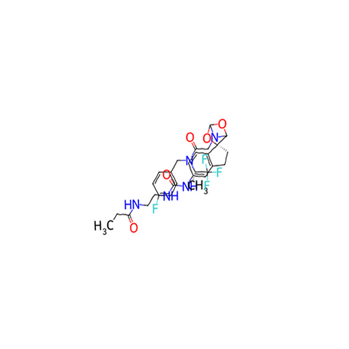 CCC(=O)NCCNC(=O)Nc1ccc2c(c1)CC[C@@]21OC2OC1N2CC(=O)N(Cc1ccc(F)cc1)[C@@H](C)C(F)(F)F